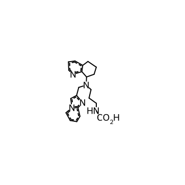 O=C(O)NCCCN(Cc1cn2ccccc2n1)C1CCCc2cccnc21